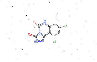 O=c1[nH]nc2c3c(Cl)cc(Cl)cc3[nH]c(=O)n12